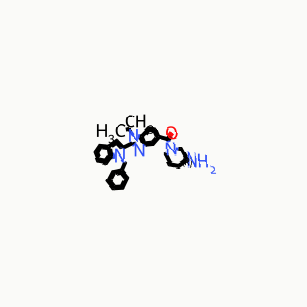 CC(C)n1c(-c2cc3ccccc3n2Cc2ccccc2)nc2cc(C(=O)N3CCC[C@@H](N)C3)ccc21